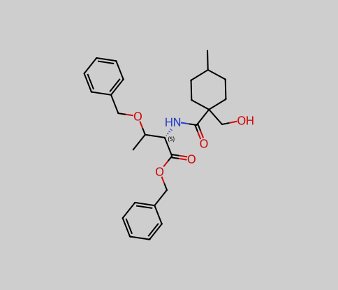 CC1CCC(CO)(C(=O)N[C@H](C(=O)OCc2ccccc2)C(C)OCc2ccccc2)CC1